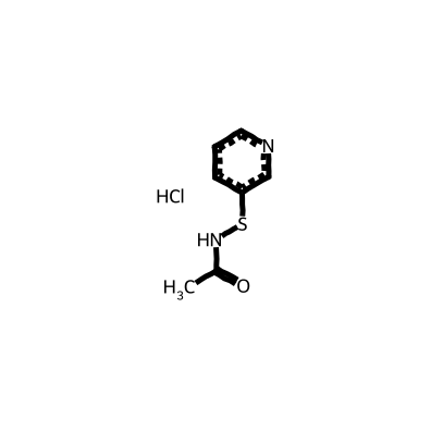 CC(=O)NSc1cccnc1.Cl